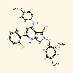 COc1ccc(Nc2cc(-c3c(F)cccc3F)nc3c2C(=O)N(Cc2ccc(OC)cc2OC)C3)cc1